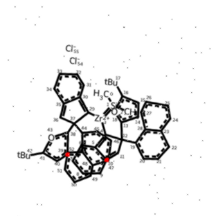 C[Si](C)=[Zr+2]([C]1=c2ccccc2=CC1(c1ccc(C(C)(C)C)o1)c1cccc2ccccc12)[C]1=c2ccccc2=CC1(c1ccc(C(C)(C)C)o1)c1cccc2ccccc12.[Cl-].[Cl-]